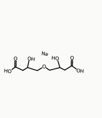 O=C(O)CC(O)COCC(O)CC(=O)O.[Na]